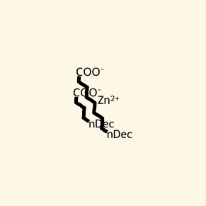 CCCCCCCCCCCCCC(=O)[O-].CCCCCCCCCCCCCCCCCC(=O)[O-].[Zn+2]